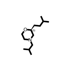 CC(C)CC[C@H]1CN(CC(C)C)CCO1